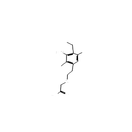 CCc1c(C)cc(CCNCC(=O)O)c(C)c1N